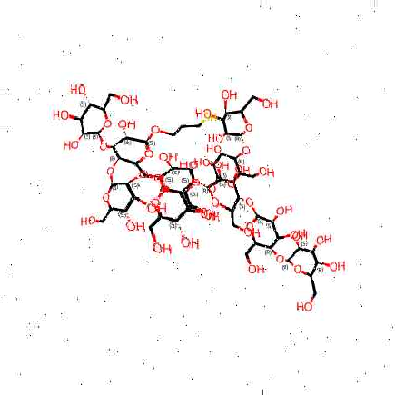 OCC1O[C@@H](OC2[C@H](O[C@@H]3OC(CO)[C@@H](O)C(O)[C@@H]3O[C@@H]3OC(CO)[C@@H](O[C@@H]4OC(CO)[C@H](O[C@H]5OC(CO)[C@H](O)C(O)[C@@H]5O)C(O)[C@@H]4O)C(O)[C@@H]3O)C(CO[C@@H]3OC(CO)[C@@H](O)C(O)[C@@H]3O[C@H]3OC(CO)[C@@H](O[C@@H]4OC(CO)[C@H](O[C@H]5OC(CO)[C@H](O)C(O)[C@@H]5O)C(O)[C@@H]4O)C(O)[C@@H]3O)O[C@H](OCCCS)[C@H]2O)[C@@H](O)C(O)[C@@H]1O